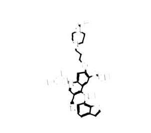 COc1cc2c(Nc3cccc4ccoc34)c(C#N)cnc2cc1OCCCN1CCN(C)CC1.Cl.Cl